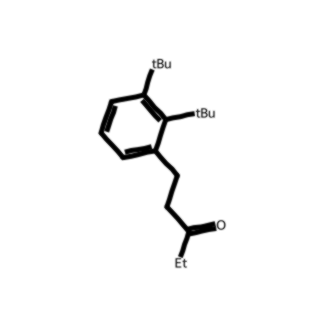 CCC(=O)CCc1cccc(C(C)(C)C)c1C(C)(C)C